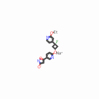 CCOc1cc([C@]2(F)C[C@@H](Oc3ccc(-c4cc([O-])no4)cn3)C2)ccn1.[Na+]